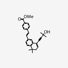 COC(=O)c1ccc(C=Cc2ccc3c(c2)C(C#CC(C)(C)O)=CCC3(C)C)cc1